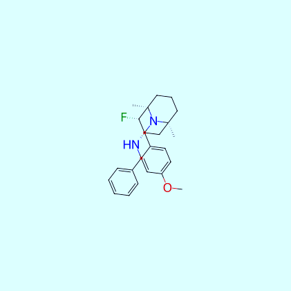 COc1ccc(CN2[C@@]3(C)CCC[C@]2(C)[C@@H](F)[C@@H](NCc2ccccc2)C3)cc1